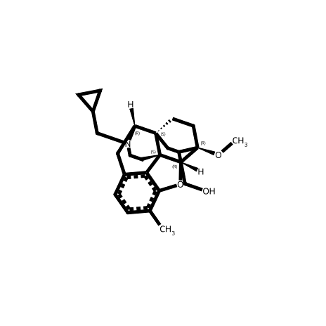 CO[C@]12CC[C@@]3(CC1CO)[C@H]1Cc4ccc(C)c5c4[C@@]3(CCN1CC1CC1)[C@H]2O5